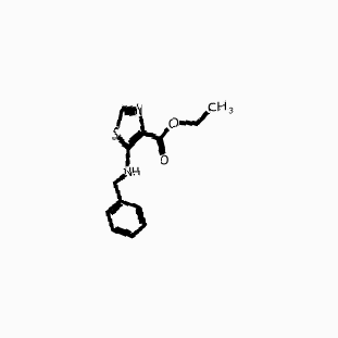 CCOC(=O)c1ncsc1NCc1ccccc1